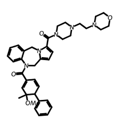 COC1(C)C=C(C(=O)N2Cc3ccc(C(=O)N4CCN(CCN5CCOCC5)CC4)n3Cc3ccccc32)C=CC1c1ccccc1